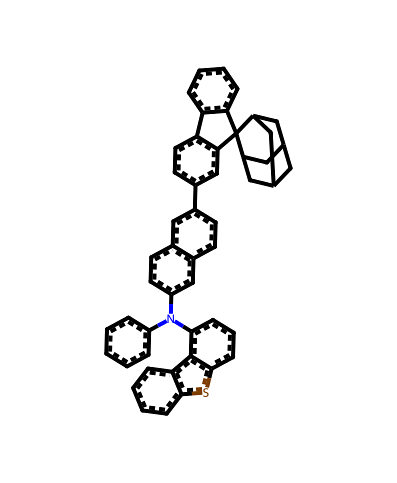 c1ccc(N(c2ccc3cc(-c4ccc5c(c4)C4(c6ccccc6-5)C5CC6CC(C5)CC4C6)ccc3c2)c2cccc3sc4ccccc4c23)cc1